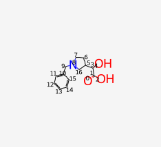 O=C(O)C(O)C1CCN(Cc2ccccc2)C1